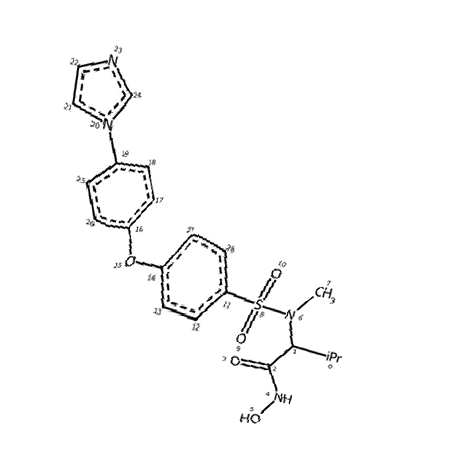 CC(C)C(C(=O)NO)N(C)S(=O)(=O)c1ccc(Oc2ccc(-n3ccnc3)cc2)cc1